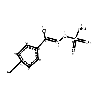 CCCCS(=O)(=O)ON=C(Cl)c1ccc(C)cc1